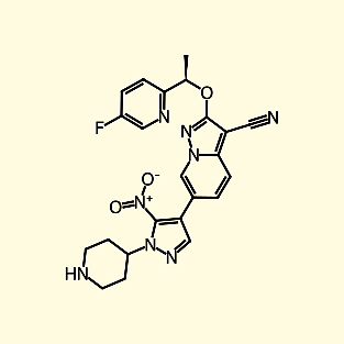 C[C@@H](Oc1nn2cc(-c3cnn(C4CCNCC4)c3[N+](=O)[O-])ccc2c1C#N)c1ccc(F)cn1